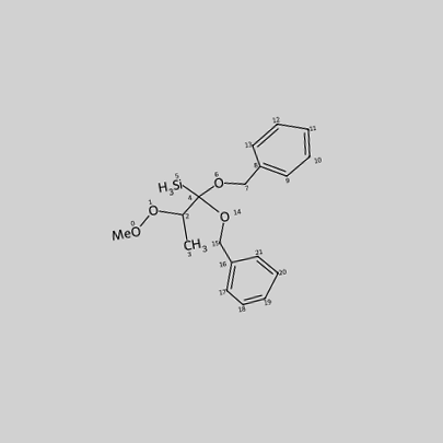 COOC(C)C([SiH3])(OCc1ccccc1)OCc1ccccc1